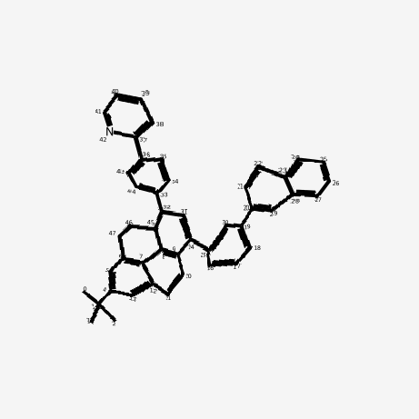 CC(C)(C)c1cc2c3c4c(ccc3c1)C(c1cccc(-c3ccc5ccccc5c3)c1)=CC(c1ccc(-c3ccccn3)cc1)C4CC2